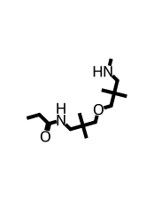 CCC(=O)NCC(C)(C)COCC(C)(C)CNC